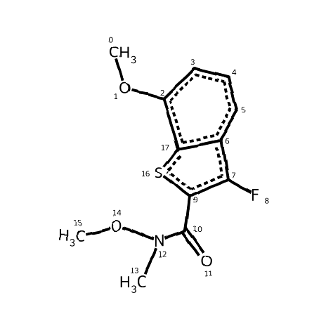 COc1cccc2c(F)c(C(=O)N(C)OC)sc12